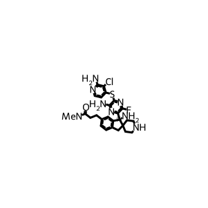 CNC(=O)CCc1ccc2c(c1)[C@](N)(c1nc(N)c(Sc3ccnc(N)c3Cl)nc1F)C1(CCNCC1)C2